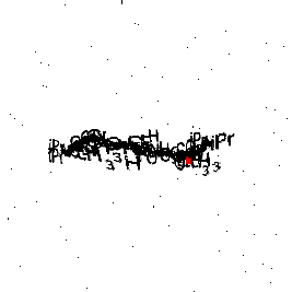 CC(C)C(CCOC(=O)C(C)(Br)CC(C)(C)C(=O)OCCOCCNC(=O)C(F)C(F)C(=O)NCCOCCOC(=O)C(C)(C)CC(C)(Br)C(=O)OCCC(C(C)C)C(C)C)C(C)C